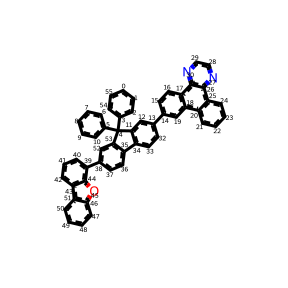 c1ccc(C2(c3ccccc3)c3cc(-c4ccc5c(c4)c4ccccc4c4nccnc54)ccc3-c3ccc(-c4cccc5c4oc4ccccc45)cc32)cc1